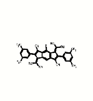 N#CC(C#N)=C1C(c2cc(C(F)(F)F)cc(C(F)(F)F)c2)=C(C#N)c2c1cc1c(c2F)C(=C(C#N)C#N)C(c2cc(C(F)(F)F)cc(C(F)(F)F)c2)=C1C#N